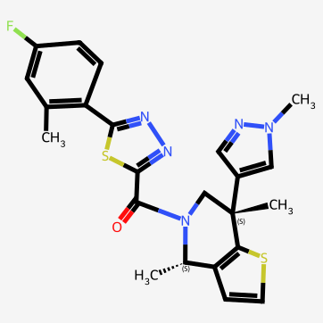 Cc1cc(F)ccc1-c1nnc(C(=O)N2C[C@](C)(c3cnn(C)c3)c3sccc3[C@@H]2C)s1